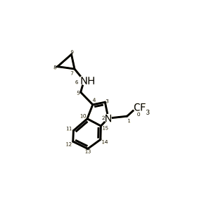 FC(F)(F)Cn1cc(CNC2CC2)c2ccccc21